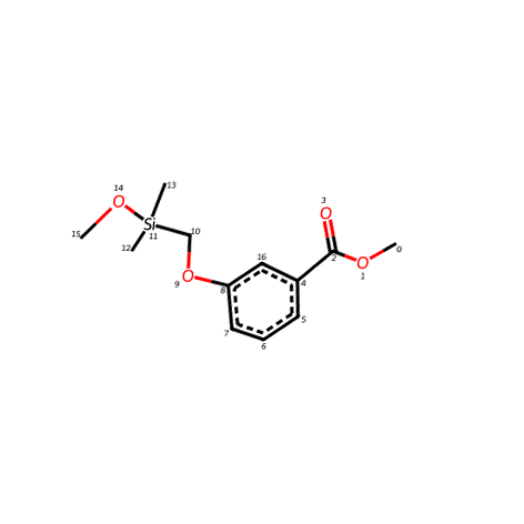 COC(=O)c1cccc(OC[Si](C)(C)OC)c1